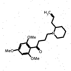 C=CCC1CCCCN1CCCC(=O)c1c(OC)cc(OC)cc1OC